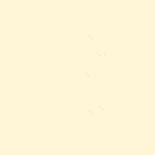 Brc1cc(NCc2cnc[nH]2)c2cn[nH]c2c1